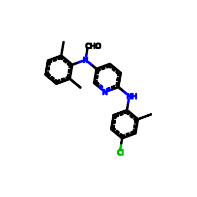 Cc1cc(Cl)ccc1Nc1ccc(N(C=O)c2c(C)cccc2C)cn1